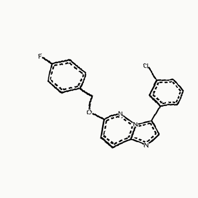 Fc1ccc(COc2ccc3ncc(-c4cccc(Cl)c4)n3n2)cc1